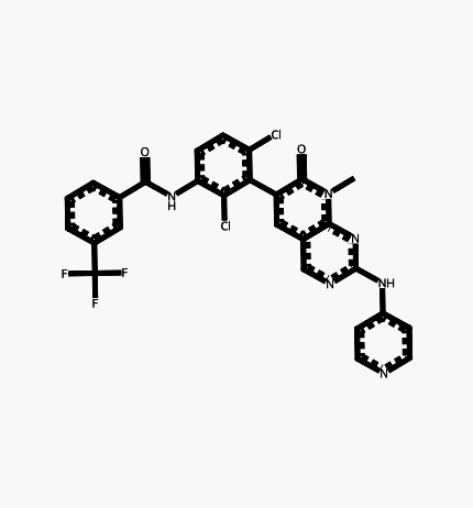 Cn1c(=O)c(-c2c(Cl)ccc(NC(=O)c3cccc(C(F)(F)F)c3)c2Cl)cc2cnc(Nc3ccncc3)nc21